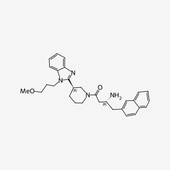 COCCCn1c([C@@H]2CCCN(C(=O)C[C@H](N)Cc3ccc4ccccc4c3)C2)nc2ccccc21